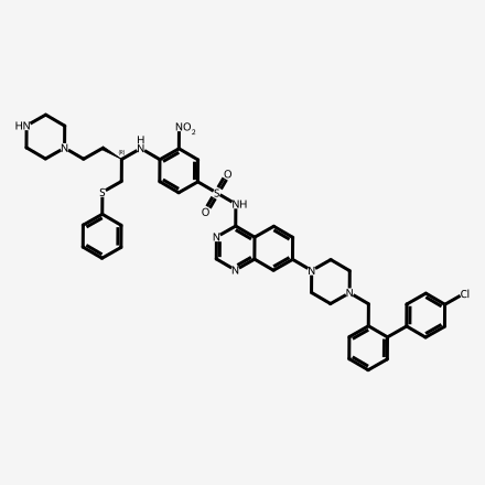 O=[N+]([O-])c1cc(S(=O)(=O)Nc2ncnc3cc(N4CCN(Cc5ccccc5-c5ccc(Cl)cc5)CC4)ccc23)ccc1N[C@H](CCN1CCNCC1)CSc1ccccc1